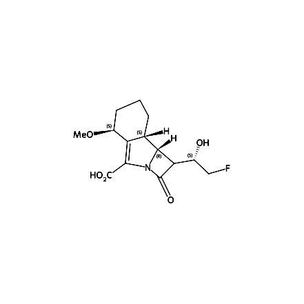 CO[C@H]1CCC[C@H]2C1=C(C(=O)O)N1C(=O)C([C@H](O)CF)[C@@H]21